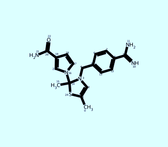 CC1=CN(Cc2ccc(C(=N)N)cc2)C(C)(n2ccc(C(N)=O)c2)S1